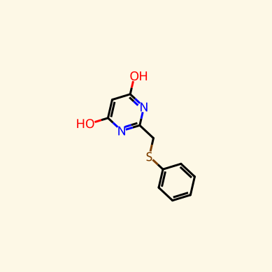 Oc1cc(O)nc(CSc2ccccc2)n1